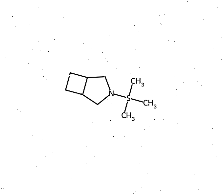 CS(C)(C)N1CC2CCC2C1